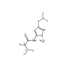 CC(C)Cc1cc(NC(=O)N(C)C(C)C)sn1.O